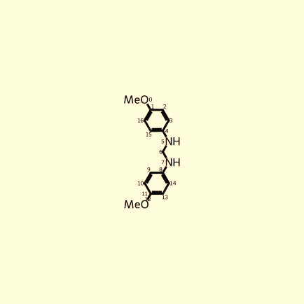 COc1ccc(NCNc2ccc(OC)cc2)cc1